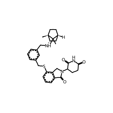 CC1(C)[C@@H]2CC[C@@]1(C)[C@@H](NCc1cccc(CSc3cccc4c3CN(C3CCC(=O)NC3=O)C4=O)c1)C2